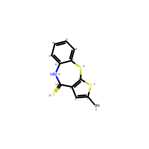 CC(C)c1cc2c(s1)Sc1ccccc1NC2=S